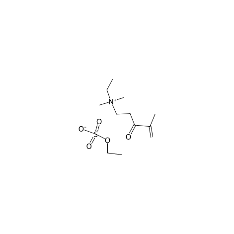 C=C(C)C(=O)CC[N+](C)(C)CC.CCOS(=O)(=O)[O-]